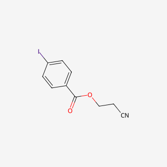 N#CCCOC(=O)c1ccc(I)cc1